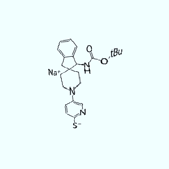 CC(C)(C)OC(=O)N[C@@H]1c2ccccc2CC12CCN(c1ccc([S-])nc1)CC2.[Na+]